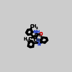 Cc1cccc(C(C)(C)C)c1NC(=O)Cn1c(-c2ccccc2)nc2ccccc21